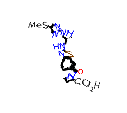 CSc1cnc(NC[C@H](C)CNc2nc3ccc(C(=O)N4CCC4C(=O)O)cc3s2)nc1